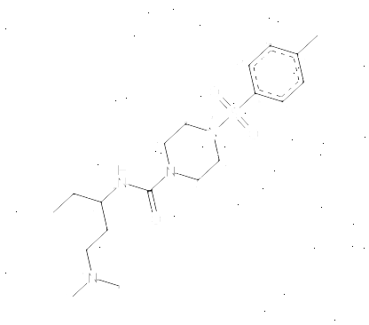 CCC(CCN(C)C)NC(=O)N1CCN(S(=O)(=O)c2ccc(C)cc2)CC1